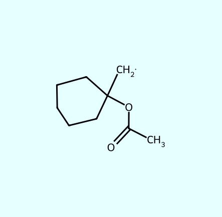 [CH2]C1(OC(C)=O)CCCCC1